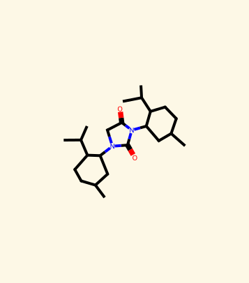 CC1CCC(C(C)C)C(N2CC(=O)N(C3CC(C)CCC3C(C)C)C2=O)C1